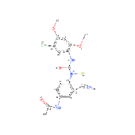 COc1cc(OC)c(NC(=O)N(S)c2ccc(NC(C)=O)cc2C#N)cc1Cl